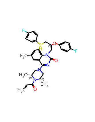 C=CC(=O)N1[C@H](C)CN(c2nc(=O)n3c4c(cc(C(F)(F)F)cc24)[SH](c2ccc(F)cc2)C[C@@H](Oc2ccc(F)cc2)C3)C[C@@H]1C